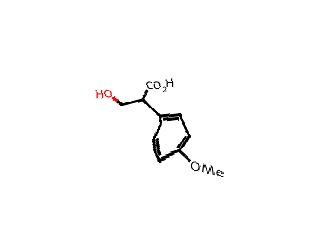 COc1ccc(C(CO)C(=O)O)cc1